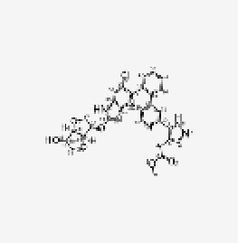 COC(=O)Cc1cn[nH]c1-c1cc(-c2ccccc2-c2nc3nc(O[C@@H]4CO[C@H]5[C@@H]4OC[C@H]5O)[nH]c3cc2Cl)ccn1